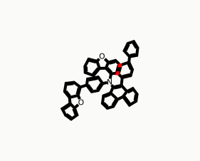 c1ccc(-c2ccc(-c3c(N(c4ccc(-c5cccc6c5oc5ccccc56)cc4)c4cccc5oc6ccccc6c45)c4ccccc4c4ccccc34)cc2)cc1